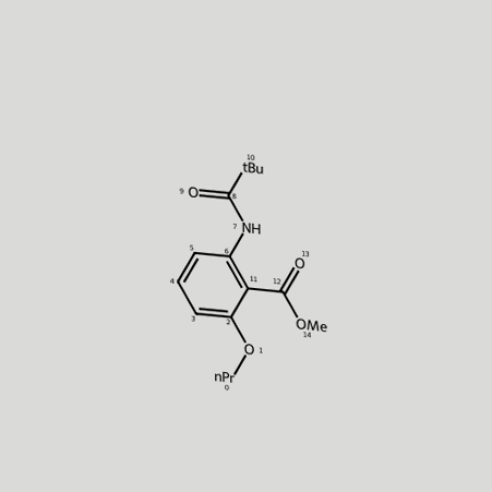 CCCOc1cccc(NC(=O)C(C)(C)C)c1C(=O)OC